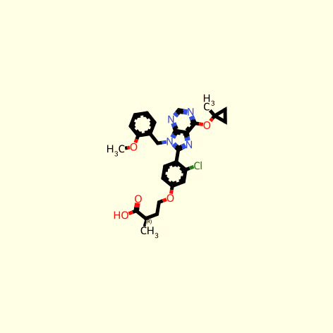 COc1ccccc1Cn1c(-c2ccc(OCC[C@@H](C)C(=O)O)cc2Cl)nc2c(OC3(C)CC3)ncnc21